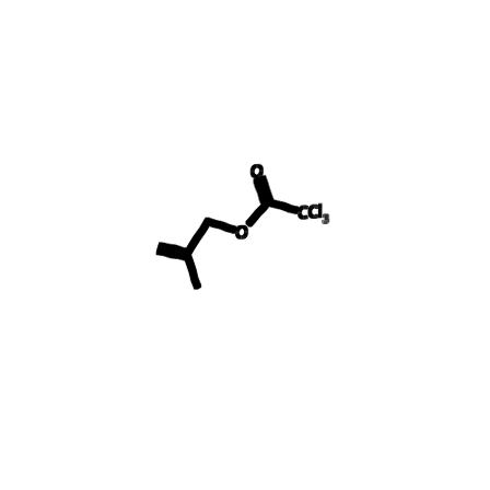 C=C(C)COC(=O)C(Cl)(Cl)Cl